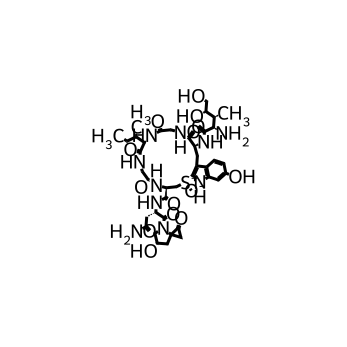 CC[C@H](C)[C@@H]1NC(=O)CNC(=O)[C@@H](NC(=O)[C@@H](N)[C@@H](C)[C@@H](O)CO)Cc2c([nH]c3cc(O)ccc23)[S+]([O-])C[C@@H](C(=O)N[C@@H](CC(N)=O)C(=O)N2C[C@H](O)CC23CC3=O)NC(=O)CNC1=O